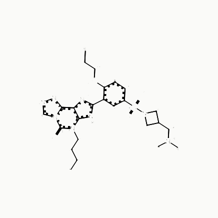 CCCCn1c(=O)n2cnnc2c2[nH]c(-c3cc(S(=O)(=O)N4CC(CN(C)C)C4)ccc3OCCC)nc21